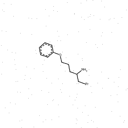 CC(C)CC(N)CCCOc1ccccc1